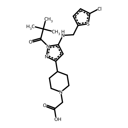 CC(C)(C)C(=O)n1nc(C2CCN(CC(=O)O)CC2)cc1NCc1ccc(Cl)s1